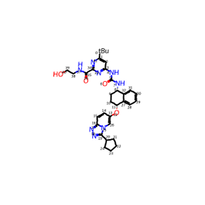 CC(C)(C)c1cc(NC(=O)N[C@H]2CC[C@@H](Oc3ccc4nnc(C5CCCC5)n4c3)c3ccccc32)nc(C(=O)NCCO)n1